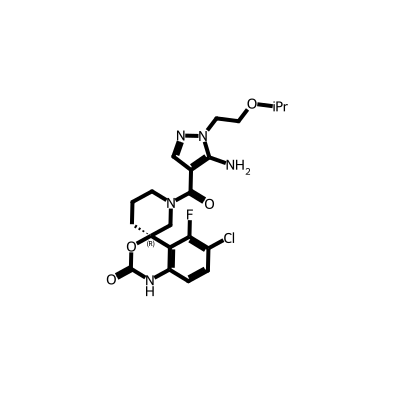 CC(C)OCCn1ncc(C(=O)N2CCC[C@@]3(C2)OC(=O)Nc2ccc(Cl)c(F)c23)c1N